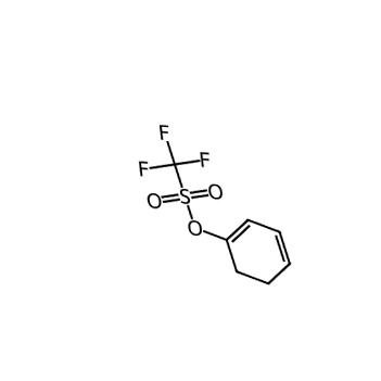 O=S(=O)(OC1=CC=CCC1)C(F)(F)F